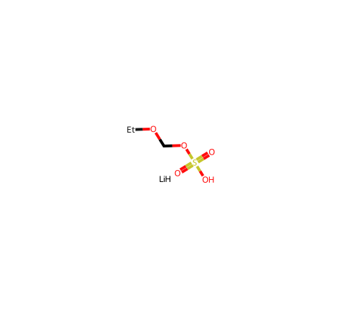 CCOCOS(=O)(=O)O.[LiH]